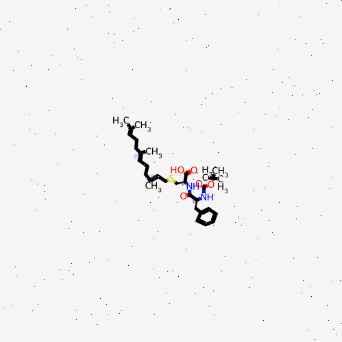 CC(C)=CCC/C(C)=C/CC/C(C)=C/CSC[C@H](NC(=O)[C@H](Cc1ccccc1)NC(=O)OC(C)(C)C)C(=O)O